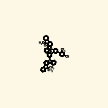 CC1(C)c2ccccc2-c2ccc3c(c21)c1ccccc1n3-c1ccc(C#N)c(-c2cc(-c3ccc(C#N)cc3C(F)(F)F)ccc2-n2c3ccccc3c3c4c(ccc32)C2CCCCC2C4(C)C)c1